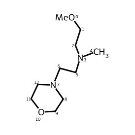 COCCN(C)CCN1CCOCC1